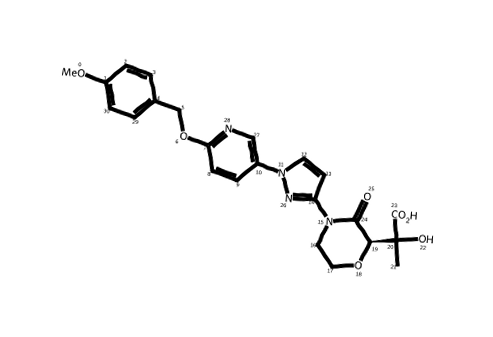 COc1ccc(COc2ccc(-n3ccc(N4CCO[C@H](C(C)(O)C(=O)O)C4=O)n3)cn2)cc1